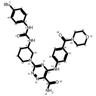 CC(C)(C)c1ccc(NC(=O)NC2CCCN(c3nnc(C(N)=O)c(Nc4ccc(C(=O)N5CCOCC5)cc4)n3)C2)cc1